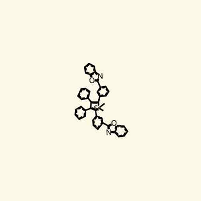 C[Si]1(C)C(c2cccc(-c3nc4ccccc4o3)c2)=C(c2ccccc2)C(c2ccccc2)=C1c1cccc(-c2nc3ccccc3o2)c1